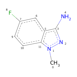 Cn1nc(N)c2cc(F)ccc21